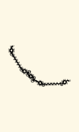 C=Cc1ccc(OCCCCCCCCCCCOc2ccc(C#CC(=O)Oc3ccc(OC(=O)C4CCC(OCCCCCCCCCCCOc5ccc(C=C)cc5)CC4)cc3)cc2)cc1